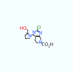 O=C(O)N1CCc2c(nc(Cl)nc2N2CCC[C@H]2CO)C1